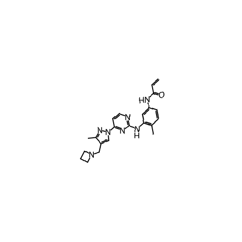 C=CC(=O)Nc1ccc(C)c(Nc2nccc(-n3cc(CN4CCC4)c(C)n3)n2)c1